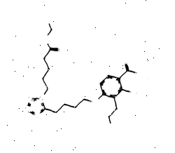 CCCc1c(OCCCCc2nnnn2CCCCC(=O)OCC)ccc(C(C)=O)c1O